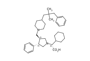 CC(C)(Cc1ccccc1)CC1CCN(C[C@H]2CN([C@@H](C(=O)O)C3CCCCC3)C[C@@H]2c2ccccc2)CC1